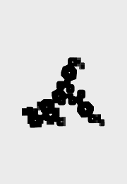 CCCCc1nccn1-c1nc(Cl)nc2c1ncn2[C@@H]1C[C@H](OC(=O)c2ccc(C)cc2)[C@@H](COC(=O)c2ccc(C)cc2)O1